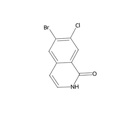 O=c1[nH]ccc2cc(Br)c(Cl)cc12